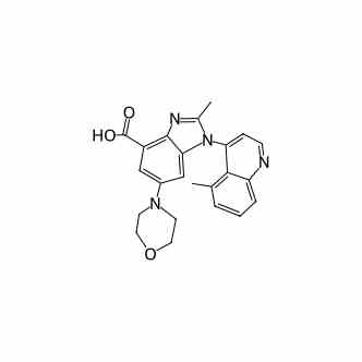 Cc1cccc2nccc(-n3c(C)nc4c(C(=O)O)cc(N5CCOCC5)cc43)c12